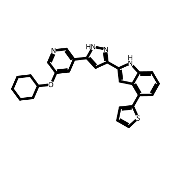 c1csc(-c2cccc3[nH]c(-c4cc(-c5cncc(OC6CCCCC6)c5)[nH]n4)cc23)c1